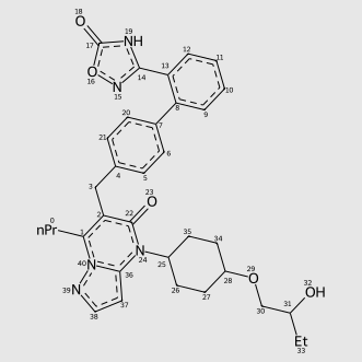 CCCc1c(Cc2ccc(-c3ccccc3-c3noc(=O)[nH]3)cc2)c(=O)n(C2CCC(OCC(O)CC)CC2)c2ccnn12